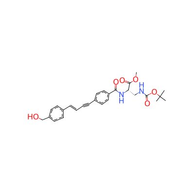 COC(=O)[C@H](CNC(=O)OC(C)(C)C)NC(=O)c1ccc(C#C/C=C/c2ccc(CO)cc2)cc1